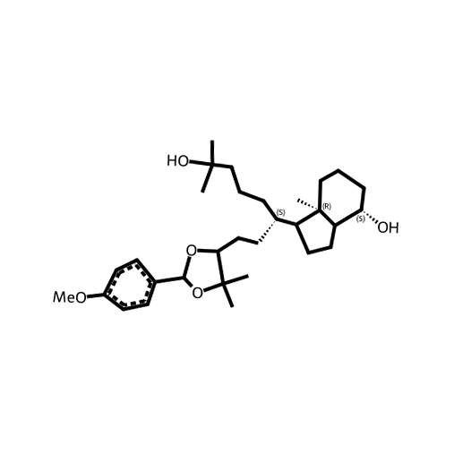 COc1ccc(C2OC(CC[C@H](CCCC(C)(C)O)C3CCC4[C@@H](O)CCC[C@]34C)C(C)(C)O2)cc1